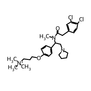 CN(C(=O)Cc1ccc(Cl)c(Cl)c1)C(CN1CCCC1)c1ccc(OCCC[N+](C)(C)C)cc1